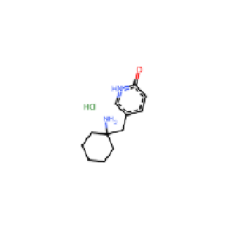 Cl.NC1(Cc2ccc(=O)[nH]c2)CCCCC1